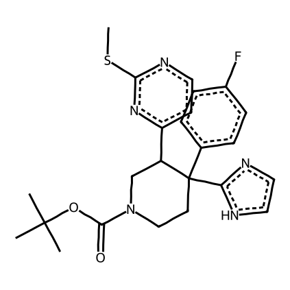 CSc1nccc(C2CN(C(=O)OC(C)(C)C)CCC2(c2ccc(F)cc2)c2ncc[nH]2)n1